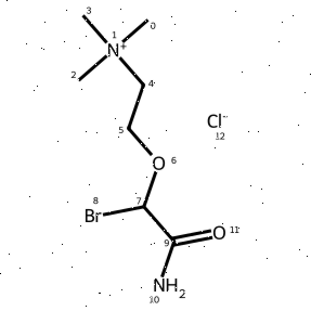 C[N+](C)(C)CCOC(Br)C(N)=O.[Cl-]